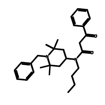 CCCCN(C(=O)CC(=O)c1ccccc1)C1CC(C)(C)N(Cc2ccccc2)C(C)(C)C1